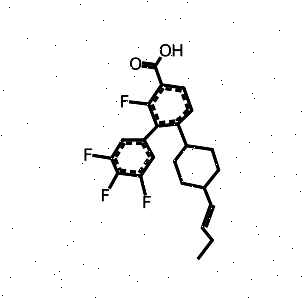 CCC=CC1CCC(c2ccc(C(=O)O)c(F)c2-c2cc(F)c(F)c(F)c2)CC1